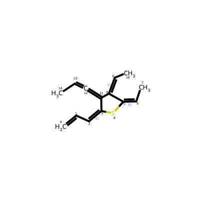 C=C/C=c1/sc(=C/C)/c(=C\C)c1=C=CC